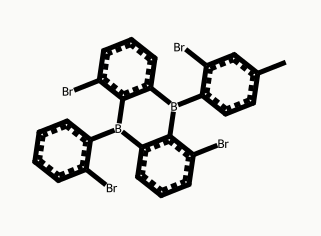 Cc1ccc(B2c3cccc(Br)c3B(c3ccccc3Br)c3cccc(Br)c32)c(Br)c1